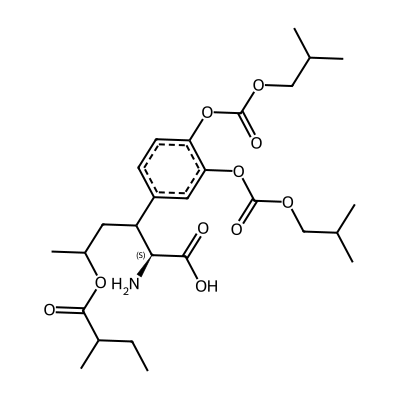 CCC(C)C(=O)OC(C)CC(c1ccc(OC(=O)OCC(C)C)c(OC(=O)OCC(C)C)c1)[C@H](N)C(=O)O